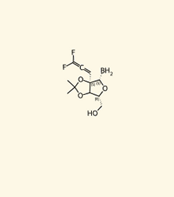 B[C@@H]1O[C@H](CO)C2OC(C)(C)O[C@]21C=C=C(F)F